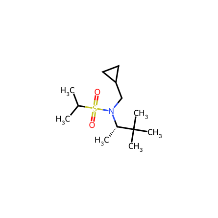 CC(C)S(=O)(=O)N(CC1CC1)[C@@H](C)C(C)(C)C